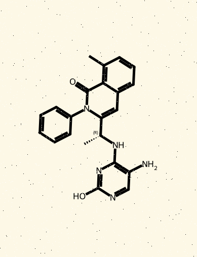 Cc1cccc2cc([C@@H](C)Nc3nc(O)ncc3N)n(-c3ccccc3)c(=O)c12